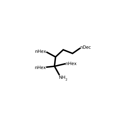 CCCCCCCCCCCCC(CCCCCC)C(N)(CCCCCC)CCCCCC